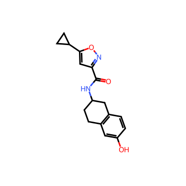 O=C(NC1CCc2cc(O)ccc2C1)c1cc(C2CC2)on1